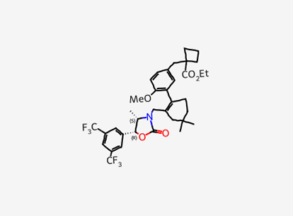 CCOC(=O)C1(Cc2ccc(OC)c(C3=C(CN4C(=O)O[C@H](c5cc(C(F)(F)F)cc(C(F)(F)F)c5)[C@@H]4C)CC(C)(C)CC3)c2)CCC1